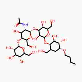 CCCCO[C@@H]1CC(CO)[C@@H](O[C@@H]2OC(CO)[C@H](O)C(O[C@@H]3OC(CO)[C@@H](O[C@@H]4OC(CO)[C@H](O)C(O)[C@@H]4O)C(O)[C@@H]3NC(C)=O)[C@@H]2O)C(O)[C@@H]1O